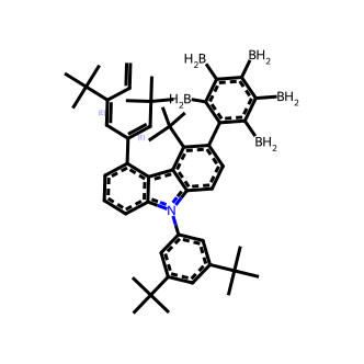 Bc1c(B)c(B)c(-c2ccc3c(c2C(C)(C)C)c2c(C(=C/C(C)(C)C)/C=C(\C=C)C(C)(C)C)cccc2n3-c2cc(C(C)(C)C)cc(C(C)(C)C)c2)c(B)c1B